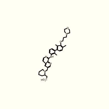 Cc1ccc(-c2cccc(Nc3nccc4cc(CN5CCCCC5CC(=O)O)cnc34)c2C)c(C)c1OCCCN1CCOCC1